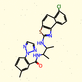 Cc1ccc(-n2nccn2)c(C(=O)NC(C)C(C)Nc2nc3c(ccc4c(Cl)cccc43)s2)c1